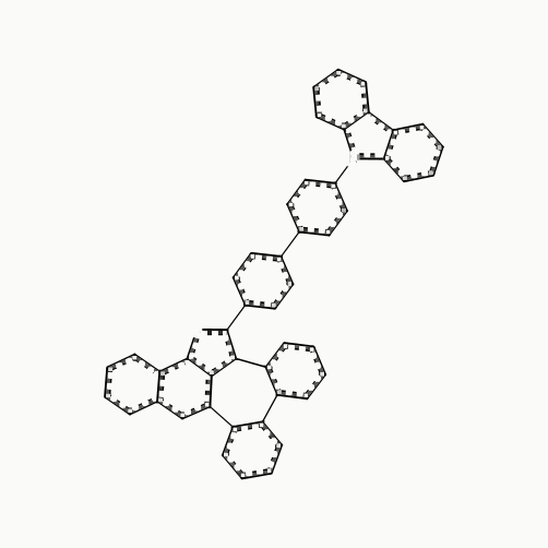 c1ccc2c(c1)-c1ccccc1-c1c(-c3ccc(-c4ccc(-n5c6ccccc6c6ccccc65)cc4)cc3)sc3c1c-2cc1ccccc13